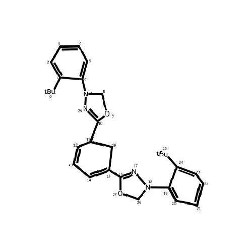 CC(C)(C)c1ccccc1N1COC([C]2C=C[C]=C(C3=NN(c4ccccc4C(C)(C)C)CO3)C2)=N1